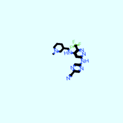 CN1CCCC(CNc2cc(Nc3cnc(C#N)cn3)nnc2C(F)(F)F)C1